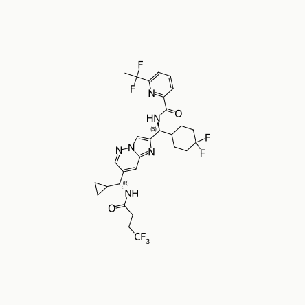 CC(F)(F)c1cccc(C(=O)N[C@H](c2cn3ncc([C@H](NC(=O)CCC(F)(F)F)C4CC4)cc3n2)C2CCC(F)(F)CC2)n1